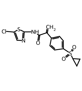 C=C(C(=O)Nc1ncc(Cl)s1)c1ccc(S(=O)(=O)C2CC2)cc1